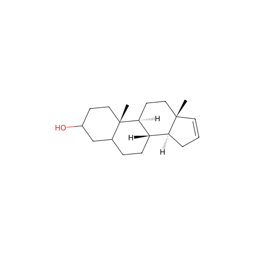 C[C@@]12C=CC[C@H]1[C@@H]1CCC3CC(O)CC[C@]3(C)[C@H]1CC2